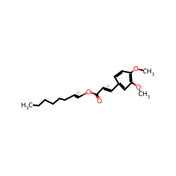 CCCCCC/C=C/OC(=O)/C=C/c1ccc(OC)c(OC)c1